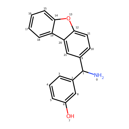 NC(c1cccc(O)c1)c1ccc2oc3ccccc3c2c1